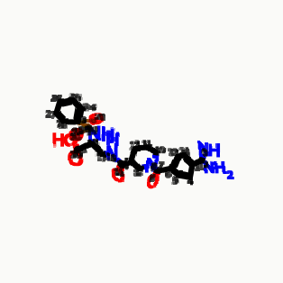 N=C(N)c1ccc(C(=O)N2CCCC(C(=O)NCC(NS(=O)(=O)c3ccccc3)C(=O)O)C2)cc1